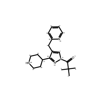 CC(C)(C)C(=O)n1cc(Cc2ccccn2)c(C2CCNCC2)n1